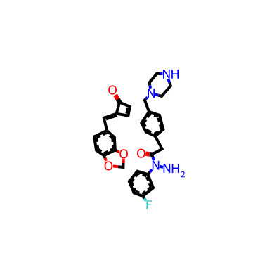 NN(C(=O)Cc1ccc(CN2CCNCC2)cc1)c1cccc(F)c1.O=C1C=CC1=Cc1ccc2c(c1)OCO2